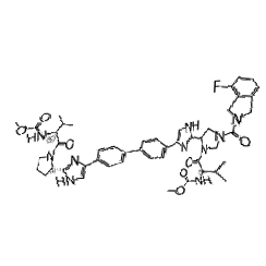 COC(=O)N[C@H](C(=O)N1CN(C(=O)N2Cc3cccc(F)c3C2)CC1c1nc(-c2ccc(-c3ccc(-c4c[nH]c([C@@H]5CCCN5C(=O)[C@@H](NC(=O)OC)C(C)C)n4)cc3)cc2)c[nH]1)C(C)C